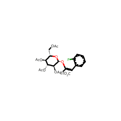 CCOC(=O)C(=Cc1ccccc1F)O[C@H]1O[C@@H](COC(C)=O)[C@H](OC(C)=O)[C@@H](OC(C)=O)[C@@H]1OC(C)=O